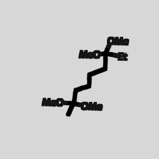 CCC(CCCCC(C)(OC)OC)(OC)OC